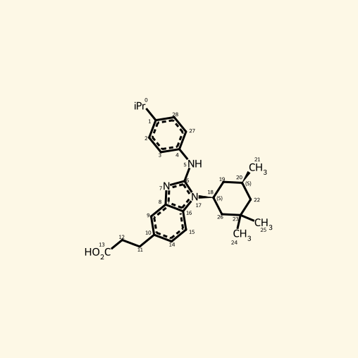 CC(C)c1ccc(Nc2nc3cc(CCC(=O)O)ccc3n2[C@H]2C[C@@H](C)CC(C)(C)C2)cc1